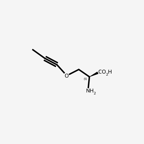 CC#COC[C@H](N)C(=O)O